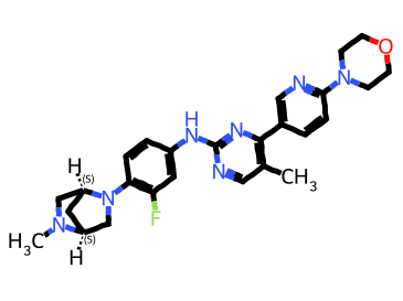 Cc1cnc(Nc2ccc(N3C[C@@H]4C[C@H]3CN4C)c(F)c2)nc1-c1ccc(N2CCOCC2)nc1